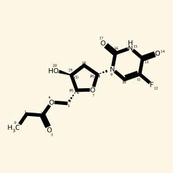 CCC(=O)OC[C@H]1O[C@@H](n2cc(F)c(=O)[nH]c2=O)C[C@@H]1O